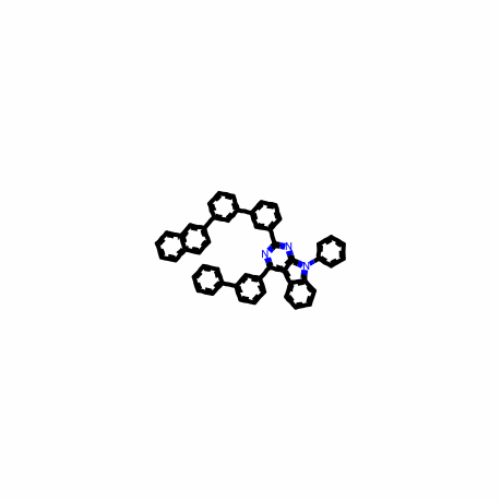 c1ccc(-c2cccc(-c3nc(-c4cccc(-c5cccc(-c6ccc7ccccc7c6)c5)c4)nc4c3c3ccccc3n4-c3ccccc3)c2)cc1